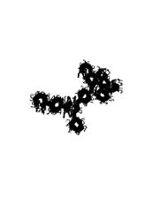 c1ccc(-c2cc(-c3ccc(N4c5ccccc5C5(c6cc7cccnc7cc64)c4ccsc4-c4sccc45)cc3)nc(-c3ccc(-c4ccccn4)cc3)n2)cc1